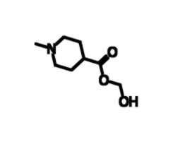 CN1CCC(C(=O)OCO)CC1